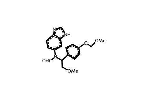 COCOc1ccc(C(COC)N(C=O)c2ccc3nc[nH]c3c2)cc1